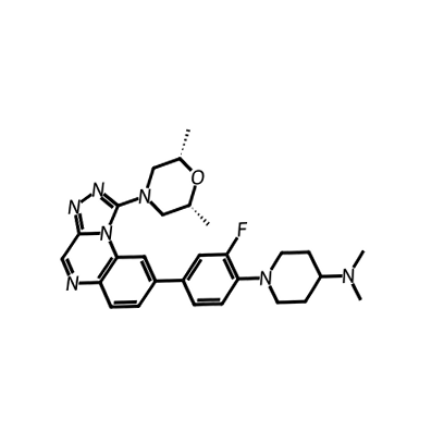 C[C@@H]1CN(c2nnc3cnc4ccc(-c5ccc(N6CCC(N(C)C)CC6)c(F)c5)cc4n23)C[C@H](C)O1